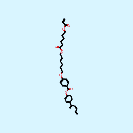 C=C/C=C\C(=C)C1=CC=C(OC(=O)c2ccc(OCCCCCCOC(=O)CCCCCOC(=O)C=C)cc2)CC1